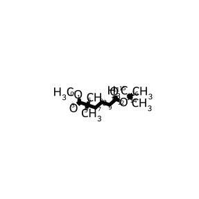 COC(=O)C(C)(C)CCCC(=O)OC(C)(C)C